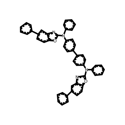 c1ccc(-c2ccc3oc(N(c4ccccc4)c4ccc(-c5ccc(N(c6ccccc6)c6nc7cc(-c8ccccc8)ccc7o6)cc5)cc4)nc3c2)cc1